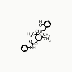 CC1(C)CC(OC(=O)Nc2ccccc2)CC(C)(C)N1CCc1ccccc1O